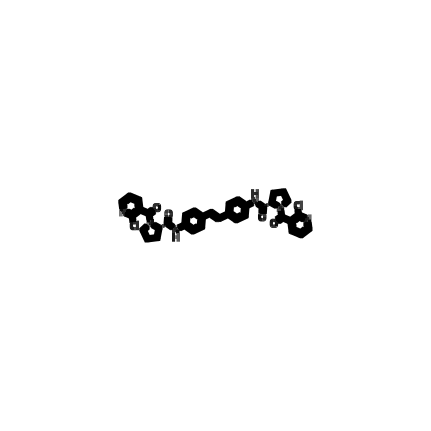 O=C(Nc1ccc(/C=C/c2ccc(NC(=O)[C@@H]3CCCN3C(=O)c3cccnc3Cl)cc2)cc1)[C@@H]1CCCN1C(=O)c1cccnc1Cl